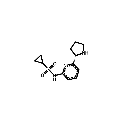 O=S(=O)(Nc1cccc([C@@H]2CCCN2)n1)C1CC1